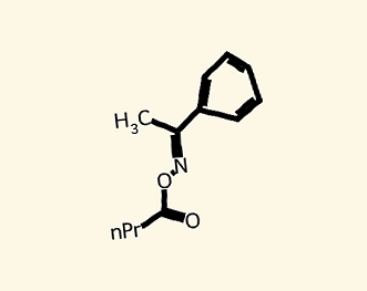 CCCC(=O)ON=C(C)c1ccccc1